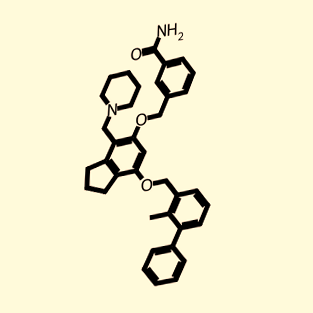 Cc1c(COc2cc(OCc3cccc(C(N)=O)c3)c(CN3CCCCC3)c3c2CCC3)cccc1-c1ccccc1